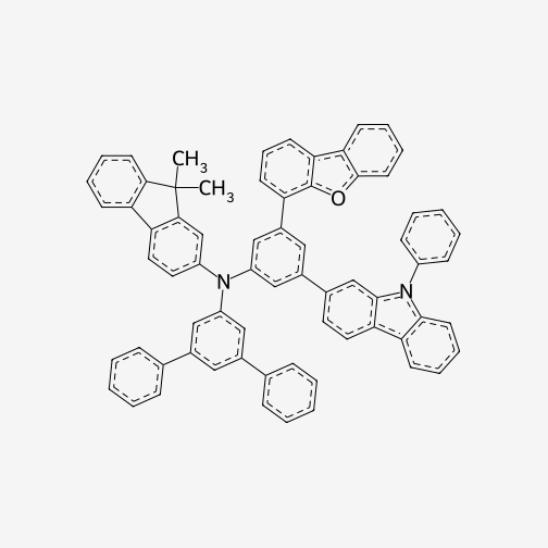 CC1(C)c2ccccc2-c2ccc(N(c3cc(-c4ccccc4)cc(-c4ccccc4)c3)c3cc(-c4ccc5c6ccccc6n(-c6ccccc6)c5c4)cc(-c4cccc5c4oc4ccccc45)c3)cc21